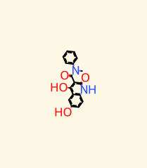 CN(C(=O)c1c(O)c2cc(O)ccc2[nH]c1=O)c1ccccc1